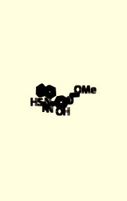 COCCOc1ccc(-c2nnc(S)n2-c2cccc3ccccc23)c(O)c1